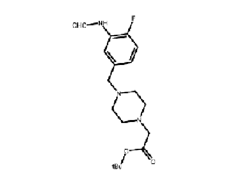 CC(C)(C)OC(=O)CN1CCN(Cc2ccc(F)c(NC=O)c2)CC1